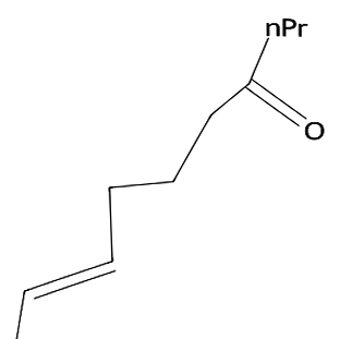 CC=CCCCC(=O)CCC